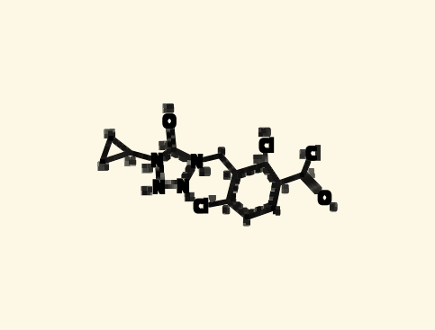 O=C(Cl)c1ccc(Cl)c(Cn2nnn(C3CC3)c2=O)c1Cl